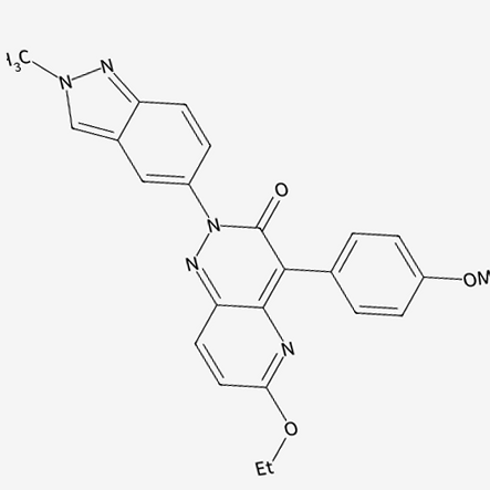 CCOc1ccc2nn(-c3ccc4nn(C)cc4c3)c(=O)c(-c3ccc(OC)cc3)c2n1